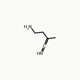 CC(=C=N)CCN